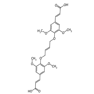 COc1cc(/C=C/C(=O)O)cc(OC)c1OC/C=C/COc1c(OC)cc(/C=C/C(=O)O)cc1OC